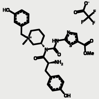 COC(=O)c1cnc(NC(=O)N(C(=O)[C@@H](N)Cc2ccc(O)cc2)[C@H]2CCC[N+](C)(Cc3cccc(O)c3)C2)s1.O=C([O-])C(F)(F)F